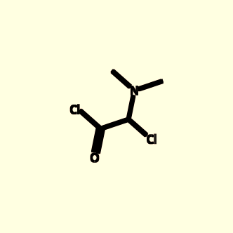 CN(C)C(Cl)C(=O)Cl